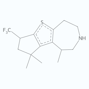 CC1CNCCc2sc3c(c21)C(C)(C)CC3C(F)(F)F